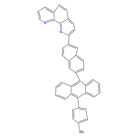 CC(C)(C)c1ccc(-c2c3ccccc3c(-c3ccc4cc(-c5ccc6ccc7cccnc7c6n5)ccc4c3)c3ccccc23)cc1